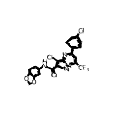 O=C(Nc1ccc2c(c1)OCO2)c1nn2c(C(F)(F)F)cc(-c3ccc(Cl)cc3)nc2c1Cl